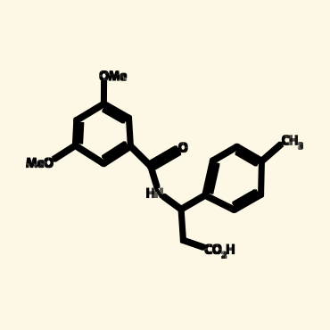 COc1cc(OC)cc(C(=O)NC(CC(=O)O)c2ccc(C)cc2)c1